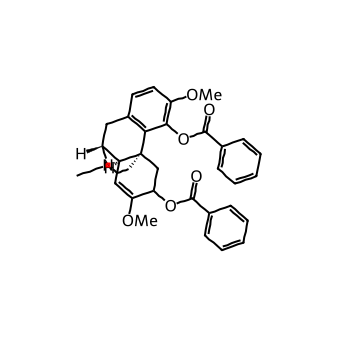 COC1=C[C@H]2[C@H]3Cc4ccc(OC)c(OC(=O)c5ccccc5)c4[C@@]2(CCN3C)CC1OC(=O)c1ccccc1